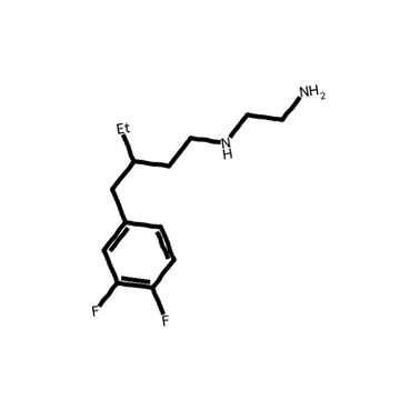 CCC(CCNCCN)Cc1ccc(F)c(F)c1